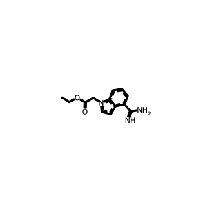 CCOC(=O)Cn1ccc2c(C(=N)N)cccc21